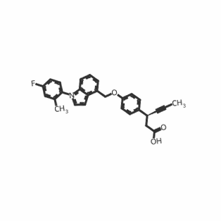 CC#C[C@@H](CC(=O)O)c1ccc(OCc2cccc3c2ccn3-c2ccc(F)cc2C)cc1